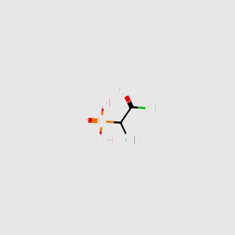 CC(C(=O)Cl)P(=O)(O)O